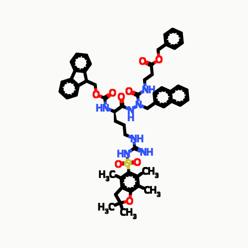 Cc1c(C)c(S(=O)(=O)NC(=N)NCCC[C@@H](NC(=O)OCC2c3ccccc3-c3ccccc32)C(=O)NN(Cc2ccc3ccccc3c2)C(=O)NCCC(=O)OCc2ccccc2)c(C)c2c1OC(C)(C)C2